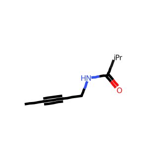 CC#CCNC(=O)C(C)C